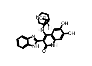 O=c1[nH]c2cc(O)c(O)cc2c(N[C@@H]2CN3CCC2CC3)c1-c1nc2ccccc2[nH]1